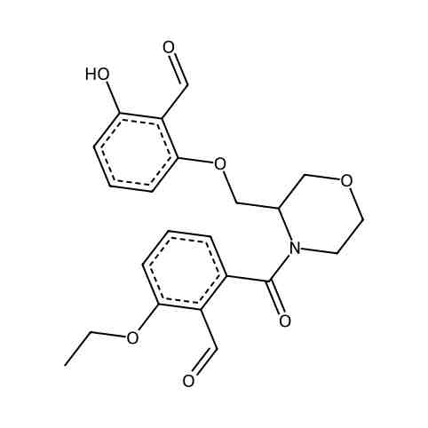 CCOc1cccc(C(=O)N2CCOCC2COc2cccc(O)c2C=O)c1C=O